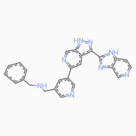 c1ccc(CNCc2cncc(-c3cc4c(-c5nc6cnccc6[nH]5)n[nH]c4cn3)c2)cc1